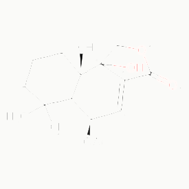 CC(=O)O[C@@H]1C=C2C(=O)OCC2(O)[C@@]2(C)CCCC(C)(C)C12